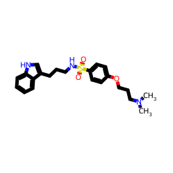 CN(C)CCCOc1ccc(S(=O)(=O)NCCCc2c[nH]c3ccccc23)cc1